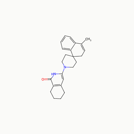 CC1=CCC2(CCN(c3cc4c(c(=O)[nH]3)CCCC4)CC2)c2ccccc21